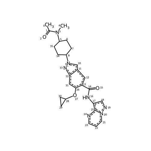 CC(=O)N(C)C1CCC(n2cc3cc(C(=O)Nc4cnn5cccnc45)c(OC4CC4)cc3n2)CC1